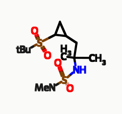 CNS(=O)(=O)NC(C)(C)CC1CC1S(=O)(=O)C(C)(C)C